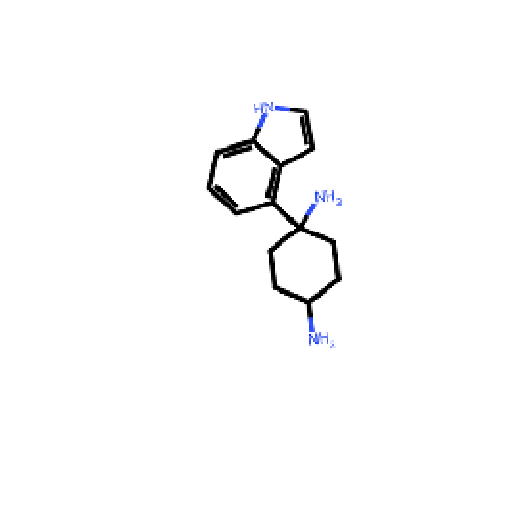 NC1CCC(N)(c2cccc3[nH]ccc23)CC1